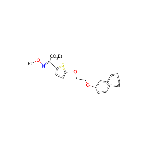 CCO/N=C(\C(=O)OCC)c1ccc(OCCOc2ccc3ccccc3c2)s1